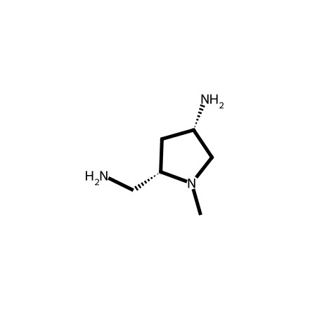 CN1C[C@@H](N)C[C@H]1CN